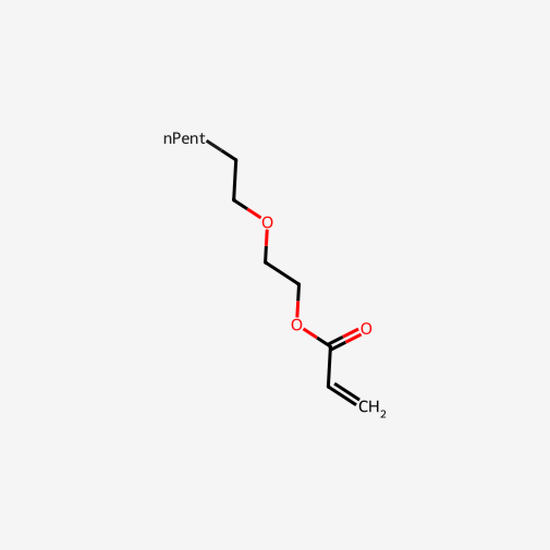 C=CC(=O)OCCOCCCCCCC